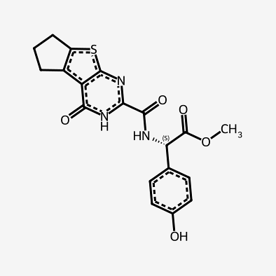 COC(=O)[C@@H](NC(=O)c1nc2sc3c(c2c(=O)[nH]1)CCC3)c1ccc(O)cc1